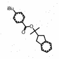 CCC(C)c1ccc(C(=O)OC(C)(C)C2Cc3ccccc3C2)cc1